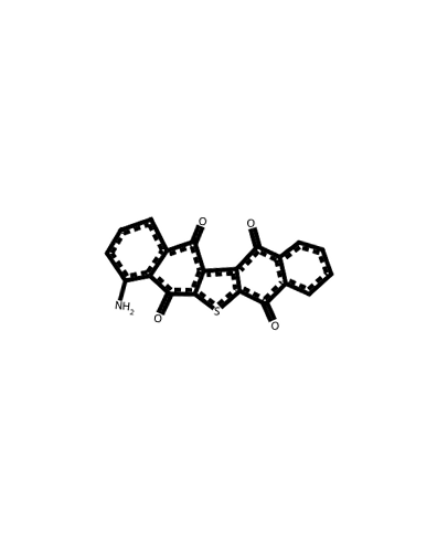 Nc1cccc2c(=O)c3c(sc4c(=O)c5ccccc5c(=O)c43)c(=O)c12